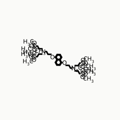 CO[Si](CCCN(CCCOc1cccc2c(OCCCN(CCC[Si](OC)(OC)OC)CCC[Si](OC)(OC)OC)cccc12)CCC[Si](OC)(OC)OC)(OC)OC